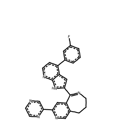 Fc1cccc(-c2ccnc3[nH]c(C4=NCCCc5cnc(-c6cnccn6)cc54)cc23)c1